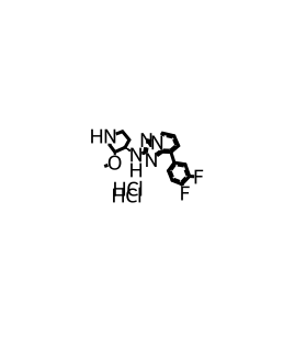 CO[C@H]1CNCC[C@H]1Nc1nc2c(-c3ccc(F)c(F)c3)cccn2n1.Cl.Cl